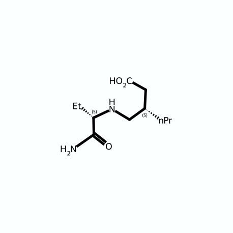 CCC[C@H](CN[C@@H](CC)C(N)=O)CC(=O)O